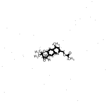 CC(=O)OCc1cc(C)c2cc3c(cc2n1)[C@@H]1O[C@H]1C(C)(C)O3